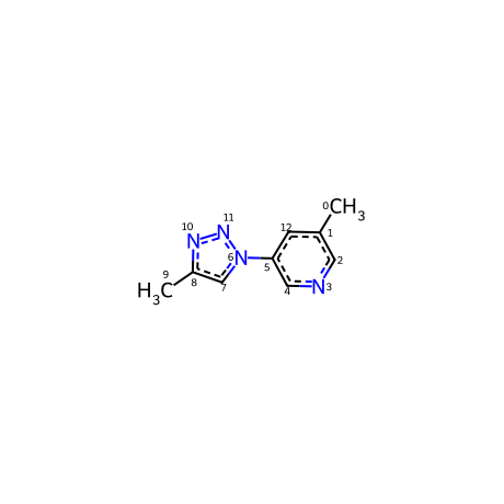 Cc1cncc(-n2cc(C)nn2)c1